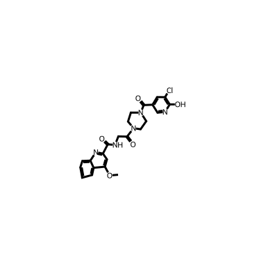 COc1cc(C(=O)NCC(=O)N2CCN(C(=O)c3cnc(O)c(Cl)c3)CC2)nc2ccccc12